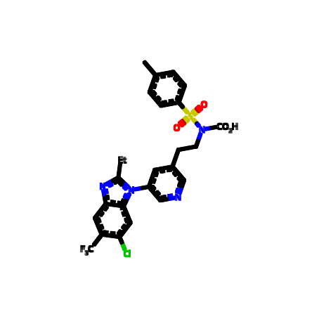 CCc1nc2cc(C(F)(F)F)c(Cl)cc2n1-c1cncc(CCN(C(=O)O)S(=O)(=O)c2ccc(C)cc2)c1